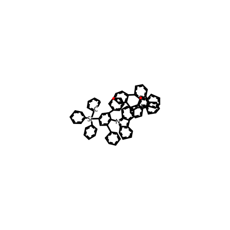 c1ccc(-c2cc([Si](c3ccccc3)(c3ccccc3)c3ccccc3)cc(-c3ccccc3)c2-n2c3ccccc3c3cc(-n4c5ccccc5c5cccc(-c6ccccc6-c6cccc7c6sc6ccccc67)c54)ccc32)cc1